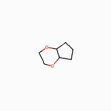 C1CC2OCCOC2C1